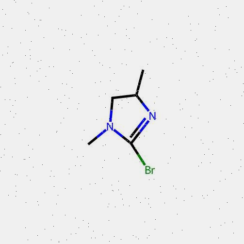 CC1CN(C)C(Br)=N1